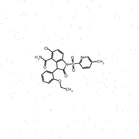 CCOc1ccccc1[C]1C(=O)N(S(=O)(=O)c2ccc(C)cn2)c2ccc(Cl)c(C(N)=O)c21